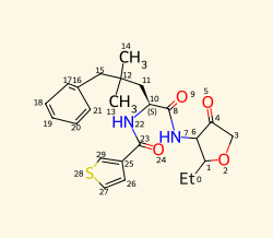 CCC1OCC(=O)C1NC(=O)[C@H](CC(C)(C)Cc1ccccc1)NC(=O)c1ccsc1